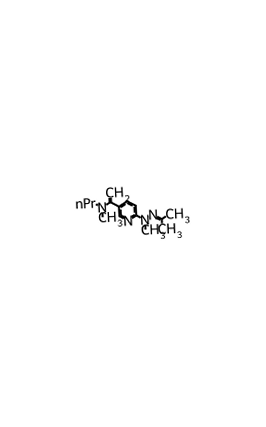 C=C(c1ccc(N(C)N=C(C)C)nc1)N(C)CCC